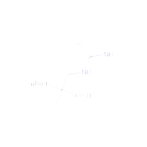 CCCCCC(C)(CNC(N)=O)C(=O)O